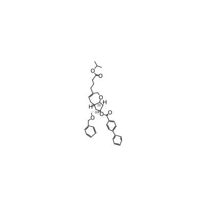 CC(C)OC(=O)CCCC1=CC[C@@H]2[C@@H](COCc3ccccc3)[C@H](OC(=O)c3ccc(-c4ccccc4)cc3)C[C@@H]2OC1